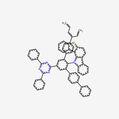 C=C/C=C(\C=C)c1ccc(-c2cc(-c3nc(-c4ccccc4)nc(-c4ccccc4)n3)cc(-c3ccc(-c4ccccc4)cc3)c2-n2c3ccccc3c3ccc4sc5ccccc5c4c32)cc1